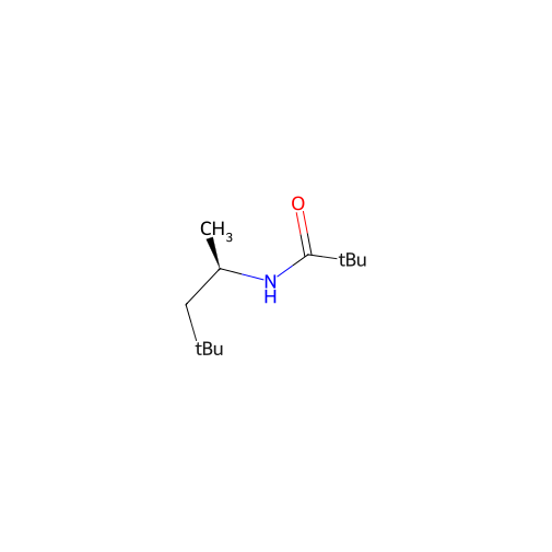 C[C@H](CC(C)(C)C)NC(=O)C(C)(C)C